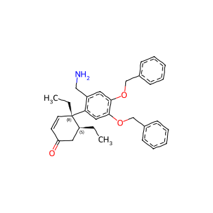 CC[C@H]1CC(=O)C=C[C@]1(CC)c1cc(OCc2ccccc2)c(OCc2ccccc2)cc1CN